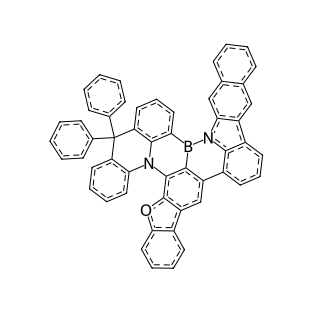 c1ccc(C2(c3ccccc3)c3ccccc3N3c4c(cccc42)B2c4c(cc5c(oc6ccccc65)c43)-c3cccc4c5cc6ccccc6cc5n2c34)cc1